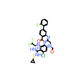 N=C(NSC1CC1)c1c(Cl)ccc(-n2c(CNC=O)nc3cc(-c4ccccc4F)ccc3c2=O)c1NCC(F)F